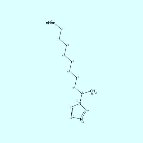 CCCCCCCCCCCCCCCCCC(C)n1ccnc1